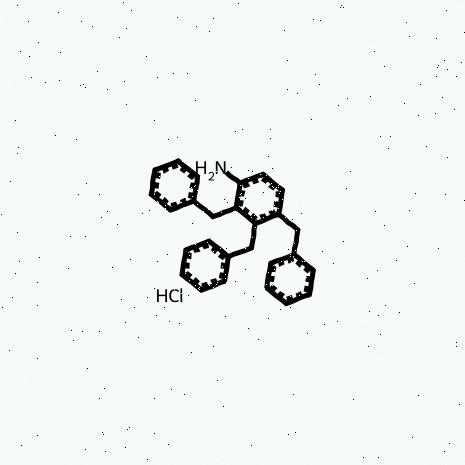 Cl.Nc1ccc(Cc2ccccc2)c(Cc2ccccc2)c1Cc1ccccc1